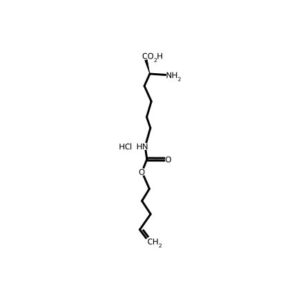 C=CCCCOC(=O)NCCCC[C@H](N)C(=O)O.Cl